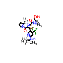 CC(CO)NC(=O)c1nc(C(=O)N2CCCC2C)c(-c2cnc(NC(C)(C)C)cc2C(F)(F)F)s1